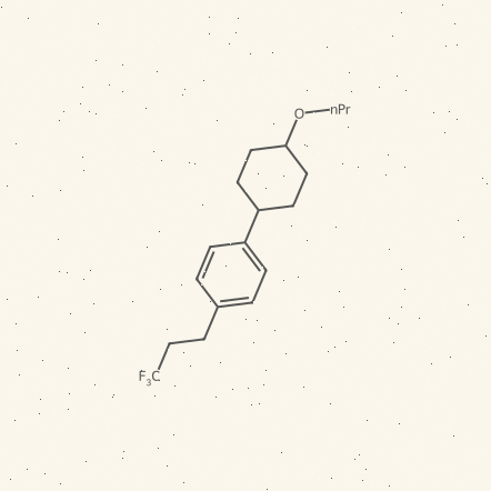 CCCOC1CCC(c2ccc(CCC(F)(F)F)cc2)CC1